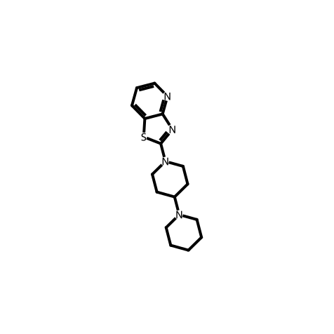 c1cnc2nc(N3CCC(N4CCCCC4)CC3)sc2c1